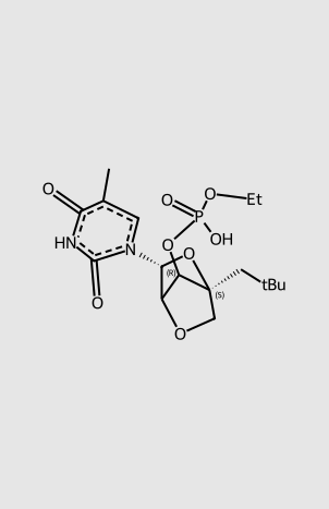 CCOP(=O)(O)OC1C2OC[C@]1(CC(C)(C)C)O[C@H]2n1cc(C)c(=O)[nH]c1=O